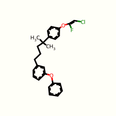 CC(C)(CCCc1cccc(Oc2ccccc2)c1)c1ccc(O/C(F)=C/Cl)cc1